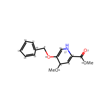 COC(=O)C1=CC(OC)C(OCc2ccccc2)=CN1